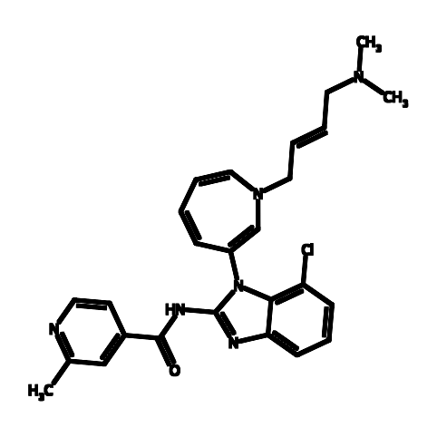 Cc1cc(C(=O)Nc2nc3cccc(Cl)c3n2C2=CN(CC=CCN(C)C)C=CC=C2)ccn1